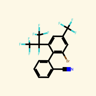 N#Cc1ccccc1-c1c(Br)[c]c(C(F)(F)F)cc1C(F)(C(F)(F)F)C(F)(F)F